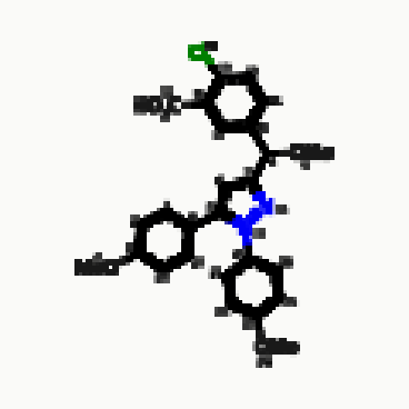 COc1ccc(-c2cc(C(OC)c3ccc(Cl)c(C(=O)O)c3)nn2-c2ccc(OC)cc2)cc1